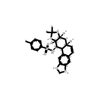 Cc1ccc(S(=O)(=O)N[C@@H]2C3c4cc5c(cc4C=C[C@H]3C[C@H]3OC(C)(C)O[C@@H]23)OCO5)cc1